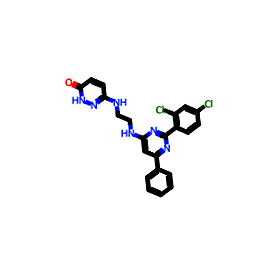 O=c1ccc(NCCNc2cc(-c3ccccc3)nc(-c3ccc(Cl)cc3Cl)n2)n[nH]1